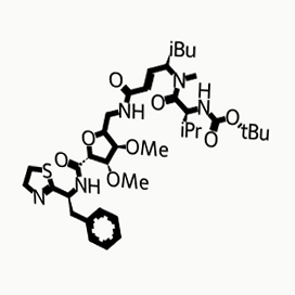 CC[C@H](C)C(/C=C/C(=O)NCC1O[C@@H](C(=O)N[C@@H](Cc2ccccc2)C2=NCCS2)[C@@H](OC)[C@@H]1OC)N(C)C(=O)[C@@H](NC(=O)OC(C)(C)C)C(C)C